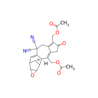 CC(=O)OCC1=C2CC(C#N)(C#N)C3=CC4CC(C5OC45)[C@@H]3C(COC(C)=O)=C2CC1=O